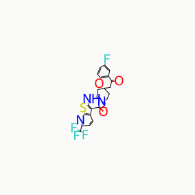 Nc1sc2nc(C(F)(F)F)ccc2c1C(=O)N1CCC2(CC1)CC(=O)c1cc(F)ccc1O2